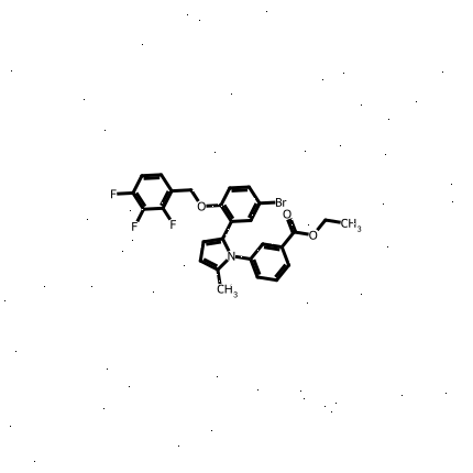 CCOC(=O)c1cccc(-n2c(C)ccc2-c2cc(Br)ccc2OCc2ccc(F)c(F)c2F)c1